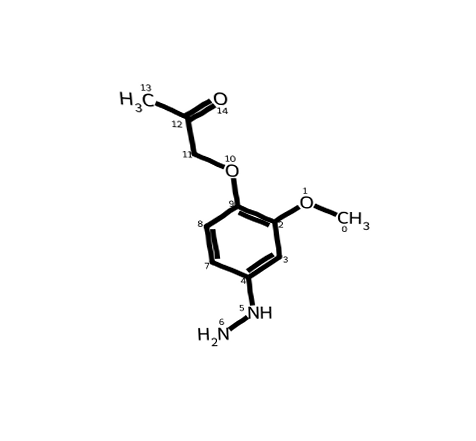 COc1cc(NN)ccc1OCC(C)=O